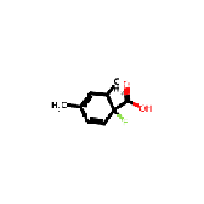 CC1=CC(C)C(F)(C(=O)O)C=C1